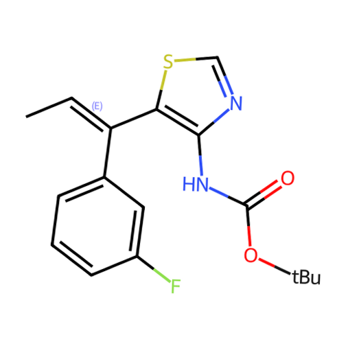 C/C=C(\c1cccc(F)c1)c1scnc1NC(=O)OC(C)(C)C